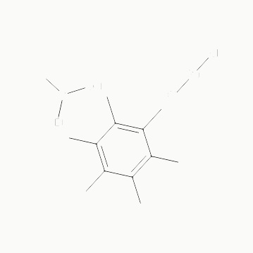 CCP(O)CC.Cc1c(C)c(C)c(C)c(C)c1C.[Cl][Ru][Cl]